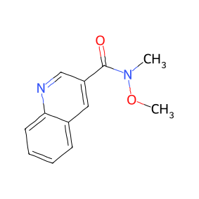 CON(C)C(=O)c1cnc2ccccc2c1